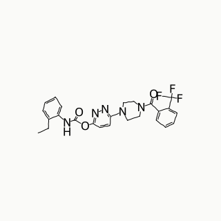 CCc1ccccc1NC(=O)Oc1ccc(N2CCN(C(=O)c3ccccc3C(F)(F)F)CC2)nn1